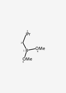 COB(CC(C)C)OC